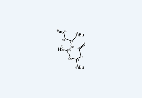 C=CCC(CCCC)SP(S)SC(CC=C)CCCC